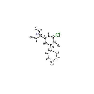 C=C/C(=C\C)c1cc(Cl)c(C)c(C2CCC(C)CC2)c1